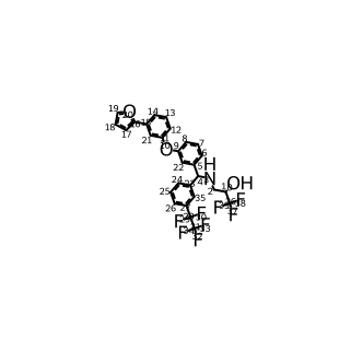 O[C@H](CNC(c1cccc(Oc2cccc(-c3ccco3)c2)c1)c1cccc(C(F)(F)C(F)(F)F)c1)C(F)(F)F